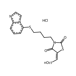 CCCCCCCC/C=C1/SC(=O)N(CCCCSc2cccc3nccn23)C1=O.Cl